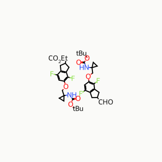 CC(C)(C)OC(=O)NC1(COc2cc(F)c3c(c2F)CC(C=O)C3)CC1.CCOC(=O)C1Cc2c(F)cc(OCC3(NC(=O)OC(C)(C)C)CC3)c(F)c2C1